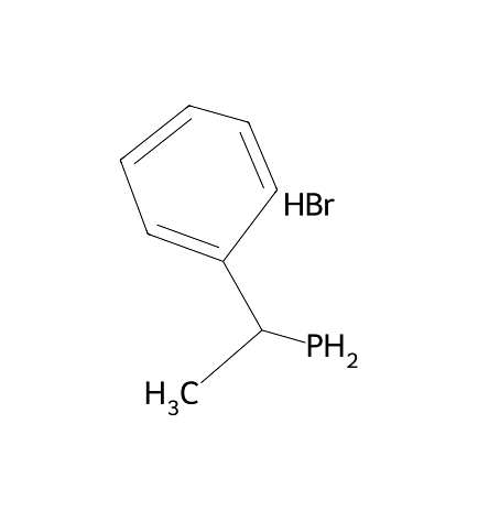 Br.CC(P)c1ccccc1